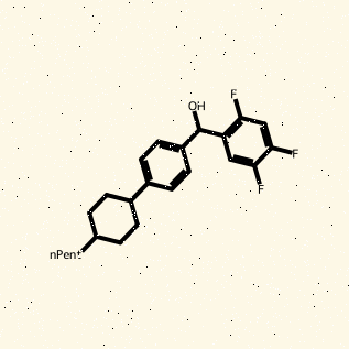 CCCCCC1CCC(c2ccc(C(O)c3cc(F)c(F)cc3F)cc2)CC1